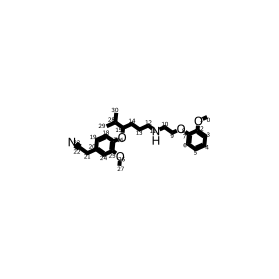 COc1ccccc1OCCNCCCC(Oc1ccc(CC#N)cc1OC)C(C)C